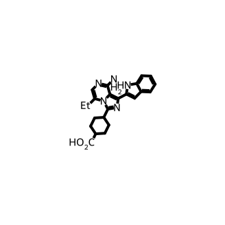 CCc1cnc(N)c2c(-c3cc4ccccc4[nH]3)nc(C3CCC(C(=O)O)CC3)n12